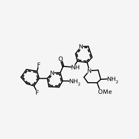 COC1CCN(c2ccncc2NC(=O)c2nc(-c3c(F)cccc3F)ccc2N)CC1N